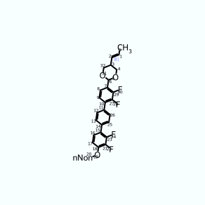 C/C=C/C1COC(c2ccc(-c3ccc(-c4ccc(OCCCCCCCCC)c(F)c4F)cc3)c(F)c2F)OC1